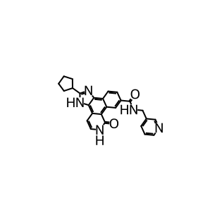 O=C(NCc1cccnc1)c1ccc2c(c1)c1c(=O)[nH]ccc1c1[nH]c(C3CCCC3)nc21